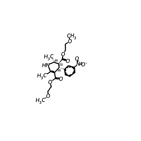 COCCOC(=O)C1=C(C)N[C@H](C)[C@@H](C(=O)OCCOC)[C@@H]1c1cccc([N+](=O)[O-])c1